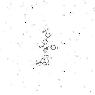 CN(Cc1cc(C(F)(F)F)cc(C(F)(F)F)c1)[C@H]1C[C@@H](C(=O)N2CCN(c3cccc(C(F)(F)F)c3)CC2)N(Cc2ccc(Cl)cc2)C1